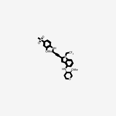 COc1cc(S(C)(=O)=O)ccc1NCC#Cc1cc2c(N[C@H]3CCOC[C@@H]3OC)cccc2n1CC(F)(F)F